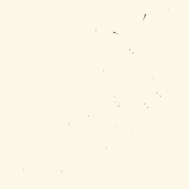 C[C@H]1[C@@H](CF)CN1C(=O)c1cnn2c(=O)cc(-c3ccc(C4CCCCC4)cc3)[nH]c12